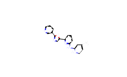 CC1=CCNC(Nc2cccc(-c3cnc(-c4cccnc4)o3)n2)=C1